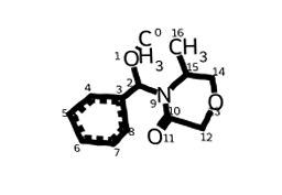 COC(c1ccccc1)N1C(=O)COCC1C